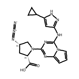 [N-]=[N+]=N[C@H]1C[C@@H](C(=O)O)N(c2nc(Nc3cc(C4CC4)[nH]n3)n3cccc3n2)C1